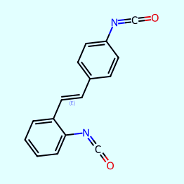 O=C=Nc1ccc(/C=C/c2ccccc2N=C=O)cc1